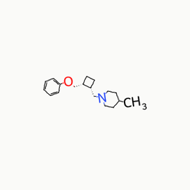 CC1CCN(C[C@H]2CC[C@H]2COc2ccccc2)CC1